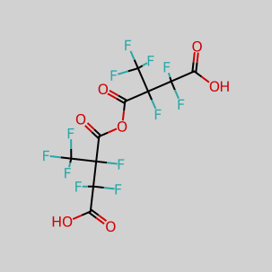 O=C(O)C(F)(F)C(F)(C(=O)OC(=O)C(F)(C(F)(F)F)C(F)(F)C(=O)O)C(F)(F)F